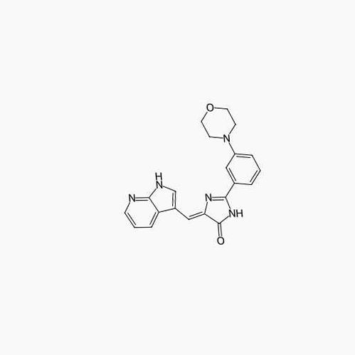 O=C1NC(c2cccc(N3CCOCC3)c2)=N/C1=C\c1c[nH]c2ncccc12